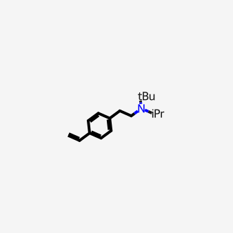 C=Cc1ccc(CCN(C(C)C)C(C)(C)C)cc1